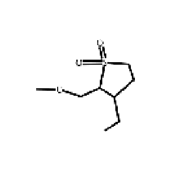 CCCC1C(CC)CCS1(=O)=O